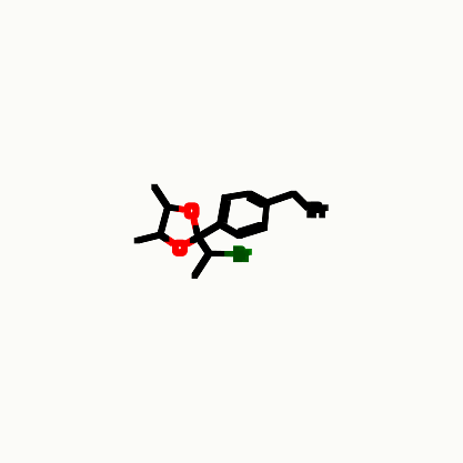 CC(C)Cc1ccc(C2(C(C)Br)OC(C)C(C)O2)cc1